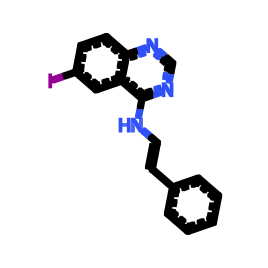 Ic1ccc2ncnc(NC=Cc3ccccc3)c2c1